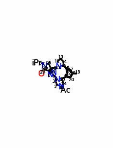 CC(=O)N1CCN2c3nc4c(c(n3)N3CCCC3c3cc(C)cc(c3)C2C1)CN(C(C)C)C4=O